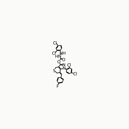 O=C(NNc1ccc(Cl)cc1Cl)Oc1nn(-c2ccc(Cl)cc2Cl)c2c1CSC/C2=C\c1ccc(F)cc1